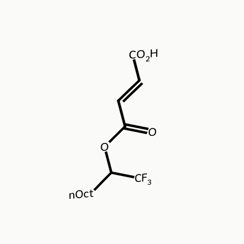 CCCCCCCCC(OC(=O)C=CC(=O)O)C(F)(F)F